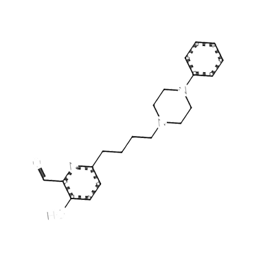 O=Cc1nc(CCCCN2CCN(c3ccccc3)CC2)ccc1O